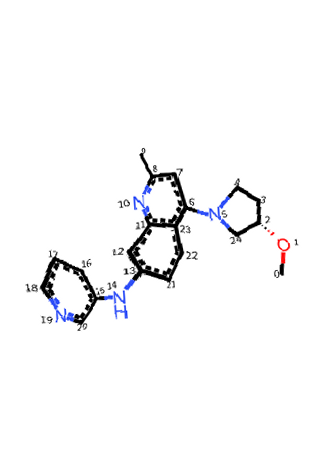 CO[C@H]1CCN(c2cc(C)nc3cc(Nc4cccnc4)ccc23)C1